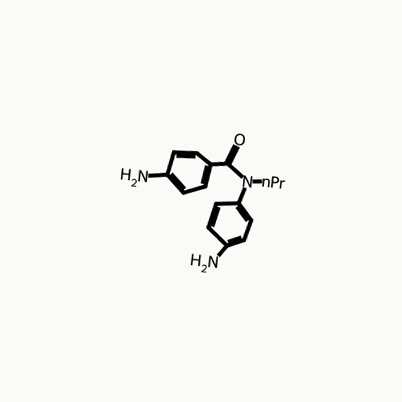 CCCN(C(=O)c1ccc(N)cc1)c1ccc(N)cc1